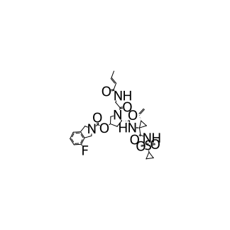 C=C[C@@H]1C[C@]1(NC(=O)[C@@H]1CC(OC(=O)N2Cc3cccc(F)c3C2)CN1C(=O)CNC(=O)/C=C/C)C(=O)NS(=O)(=O)C1CC1